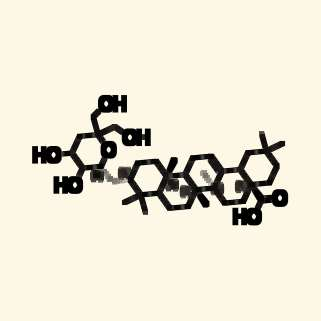 CC1(C)CC[C@]2(C(=O)O)CC[C@]3(C)C(=CCC4[C@@]5(C)CC[C@@H](C[C@H]6OC(CO)(CO)CC(O)C6O)C(C)(C)C5CC[C@]43C)C2C1